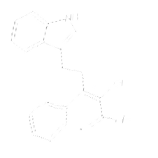 O=C(O)/C(O)=C(/CCc1c[nH]c2ccccc12)c1ccccc1